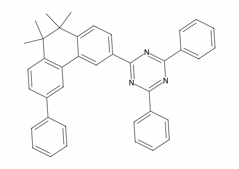 CC1(C)c2ccc(-c3ccccc3)cc2-c2cc(-c3nc(-c4ccccc4)nc(-c4ccccc4)n3)ccc2C1(C)C